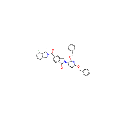 CC1c2c(F)cccc2CN1C(=O)c1ccc2c(c1)CN(c1ccc(OCc3ccccc3)nc1OCc1ccccc1)C2=O